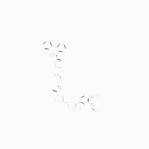 O=CNc1cc(C(O)CN[C@H]2CC[C@@H](C(=O)NCCN3CCC(OC(=O)Nc4ccccc4-c4ccccc4)CC3)C2)ccc1O